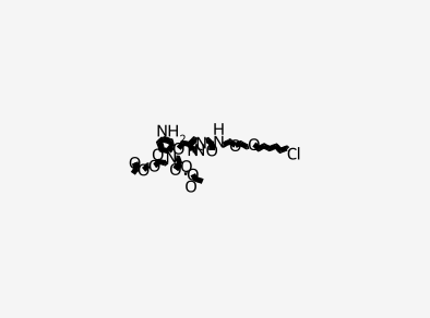 CC(=O)OCOC(=O)CN(CC(=O)OCOC(C)=O)c1ccc(N)cc1OCc1cn(CC(=O)NCCOCCOCCCCCCCl)nn1